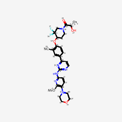 COc1nc(Nc2nccc(-c3ccc(OC4CCN(C(=O)[C@H](C)O)CC4(F)F)c(C#N)c3)n2)ccc1N1CCOCC1